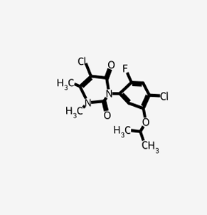 Cc1c(Cl)c(=O)n(-c2cc(OC(C)C)c(Cl)cc2F)c(=O)n1C